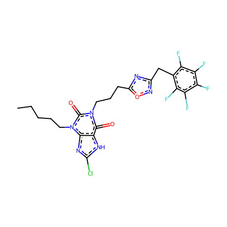 CCCCCn1c(=O)n(CCCc2nc(Cc3c(F)c(F)c(F)c(F)c3F)no2)c(=O)c2[nH]c(Cl)nc21